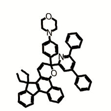 CCC1(CC)c2ccccc2-c2c1c1c(c3ccccc23)OC(c2ccc(N3CCOCC3)cc2)(c2cc(-c3ccccc3)cc(-c3ccccc3)n2)C=C1